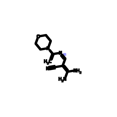 C=C(/N=C\C(C#N)=C(N)N)N1CCOCC1